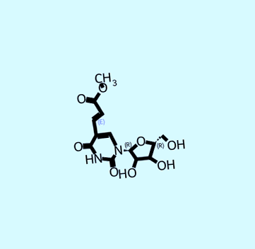 COC(=O)/C=C/c1cn([C@@H]2O[C@H](CO)C(O)C2O)c(=O)[nH]c1=O